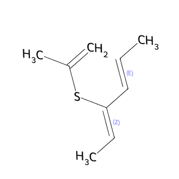 C=C(C)SC(=C\C)/C=C/C